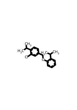 CC(C)c1ccc(COc2ccccc2C(C)C)cc1Cl